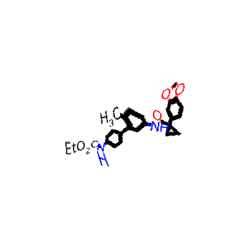 CCOC(=O)Nc1ccc(-c2cc(NC(=O)C3(c4ccc5c(c4)OCO5)CC3)ccc2C)cc1